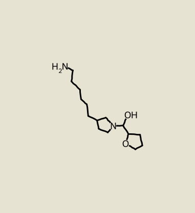 NCCCCCCC1CCN(C(O)C2CCCO2)C1